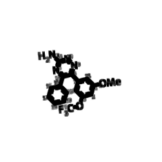 COc1cc(OC(F)(F)F)cc(-c2nnc(N)nc2-c2ccccc2)c1